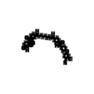 N#Cc1ccc(O[C@H]2CC[C@H](NC(=O)c3ccc(NCCCCCCCNc4ccc5c(c4)C(=O)N(C4CCC(=O)NC4=O)C5=O)cc3)CC2)cc1Cl